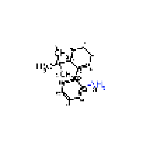 CC(C)(C)C1CCCC=C1c1ccccc1N